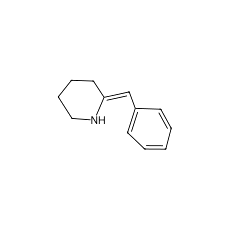 C(=C1CCCCN1)c1ccccc1